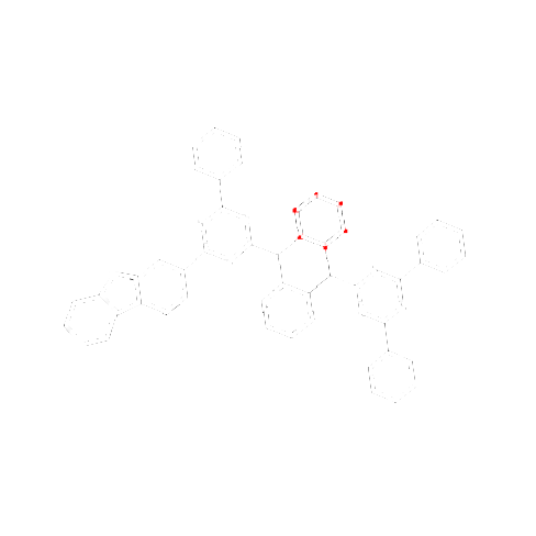 c1ccc(-c2nc(-c3ccccc3)nc(C34c5ccccc5C(c5nc(-c6ccccc6)nc(-c6ccc7c(c6)oc6ccccc67)n5)(c5ccccc53)c3ccccc34)n2)cc1